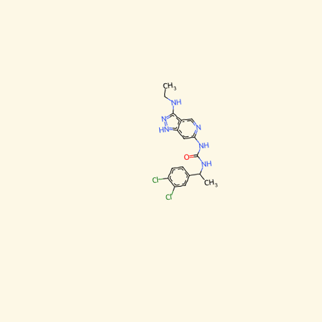 CCNc1n[nH]c2cc(NC(=O)NC(C)c3ccc(Cl)c(Cl)c3)ncc12